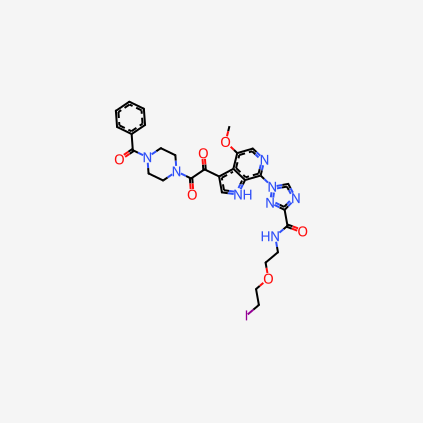 COc1cnc(-n2cnc(C(=O)NCCOCCI)n2)c2[nH]cc(C(=O)C(=O)N3CCN(C(=O)c4ccccc4)CC3)c12